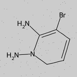 NC1=C(Br)C=CCN1N